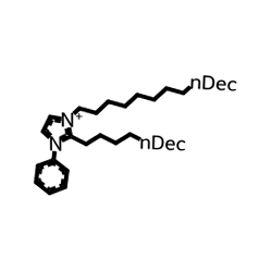 CCCCCCCCCCCCCCCCCC[n+]1ccn(-c2ccccc2)c1CCCCCCCCCCCCCC